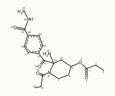 CCC(=O)OC1CCN(C(=O)CC)C(N)(C(=O)c2ccc(C(=O)NN)cc2)C1